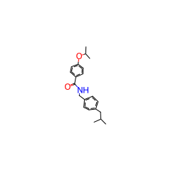 CC(C)Cc1ccc(CNC(=O)c2ccc(OC(C)C)cc2)cc1